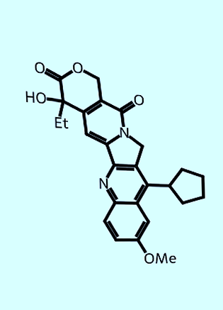 CCC1(O)C(=O)OCc2c1cc1n(c2=O)Cc2c-1nc1ccc(OC)cc1c2C1CCCC1